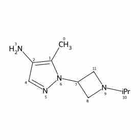 Cc1c(N)cnn1C1CN(C(C)C)C1